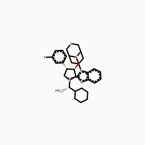 CCc1nc2ccccc2n1C1CC2CSCC(C1)N2C[C@H]1CN([C@@H](C(=O)O)C2CCCCC2)C[C@@H]1c1cccc(F)c1